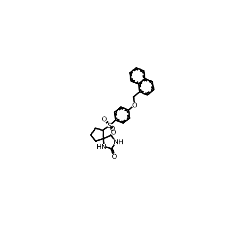 O=C1NC(=O)C2(CCCC2S(=O)(=O)c2ccc(OCc3cccc4ccccc34)cc2)N1